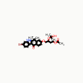 CC(=O)OCCC(COc1ccc2c(c1)C(C)(C)c1[nH]c3cc(Br)ccc3c1C2=O)OC(C)(C)O